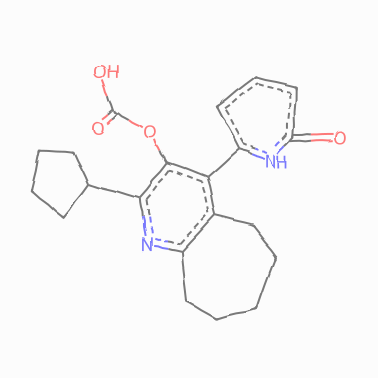 O=C(O)Oc1c(C2CCCC2)nc2c(c1-c1cccc(=O)[nH]1)CCCCC2